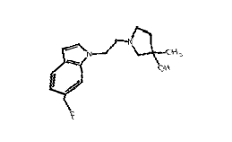 CC1(O)CCN(CCn2ccc3ccc(F)cc32)C1